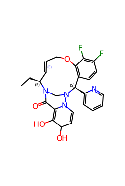 CC[C@H]1/C=C/COc2c(ccc(F)c2F)[C@@H](c2ccccn2)N2CN1C(=O)C1=C(O)C(O)C=CN12